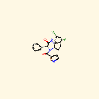 NC(=O)[C@@H](c1ccccc1)N(C(=O)c1ccns1)[C@@H]1CCc2c(F)cc(Cl)cc21